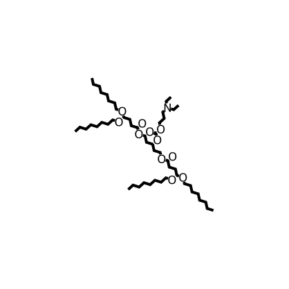 CCCCCCCCOC(CCC(=O)OCCC(CCOC(=O)CCC(OCCCCCCCC)OCCCCCCCC)OC(=O)OCCCN(CC)CC)OCCCCCCCC